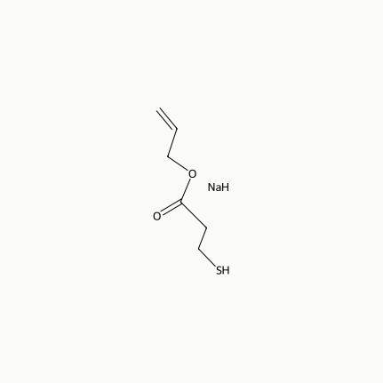 C=CCOC(=O)CCS.[NaH]